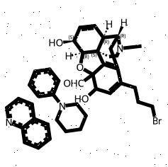 CN1CC[C@@]23C4=C5C[C@@H]1[C@@H]2C=C[C@H](O)[C@@H]3OC4(C=O)C(O)C=C5CCCBr.c1ccc(N2CCCCC2)cc1.c1ccc2ncccc2c1